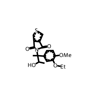 CCOc1cc(C(C)(C(C)O)N2C(=O)c3cscc3C2=O)ccc1OC